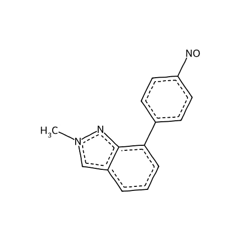 Cn1cc2cccc(-c3ccc(N=O)cc3)c2n1